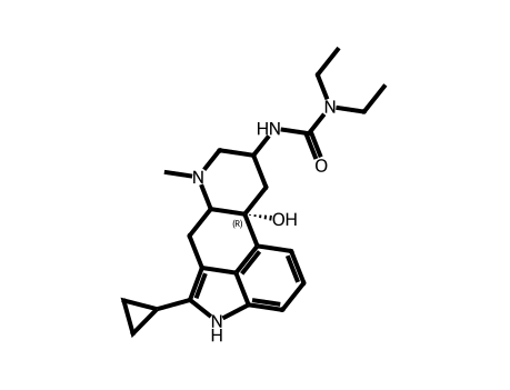 CCN(CC)C(=O)NC1CN(C)C2Cc3c(C4CC4)[nH]c4cccc(c34)[C@]2(O)C1